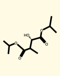 CC(C)OC(=O)C(C)[C@H](O)C(=O)OC(C)C